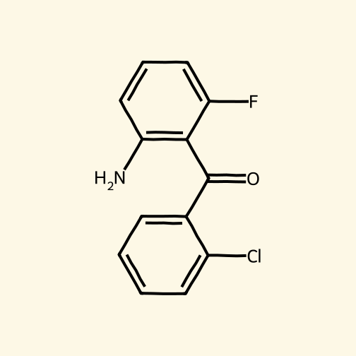 Nc1cccc(F)c1C(=O)c1ccccc1Cl